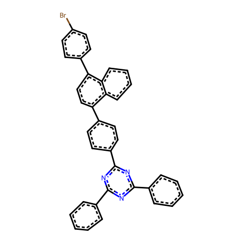 Brc1ccc(-c2ccc(-c3ccc(-c4nc(-c5ccccc5)nc(-c5ccccc5)n4)cc3)c3ccccc23)cc1